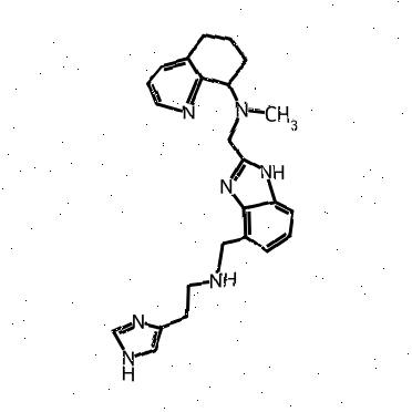 CN(Cc1nc2c(CNCCc3c[nH]cn3)cccc2[nH]1)C1CCCc2cccnc21